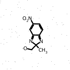 CC1(C[O])N=c2ccc([N+](=O)[O-])cc2=N1